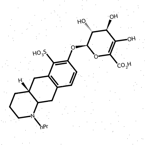 CCCN1CCC[C@@H]2Cc3c(ccc(O[C@@H]4OC(C(=O)O)=C(O)[C@H](O)[C@H]4O)c3S(=O)(=O)O)CC21